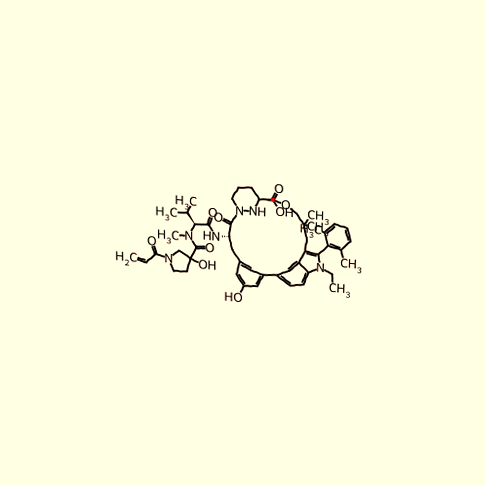 C=CC(=O)N1CCC(O)(C(=O)N(C)[C@H](C(=O)N[C@H]2Cc3cc(O)cc(c3)-c3ccc4c(c3)c(c(-c3c(C)cccc3C)n4CC)CC(C)(C)COC[C@]3(C(=O)O)CCCN(N3)C2=O)C(C)C)C1